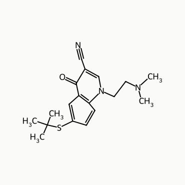 CN(C)CCn1cc(C#N)c(=O)c2cc(SC(C)(C)C)ccc21